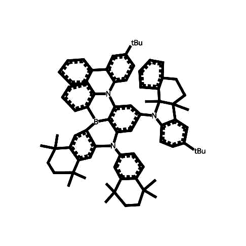 CC(C)(C)c1ccc(N2c3ccccc3B3c4cc5c(cc4N(c4ccc6c(c4)C(C)(C)CCC6(C)C)c4cc(N6c7ccc(C(C)(C)C)cc7C7(C)CCc8ccccc8C67C)cc2c43)C(C)(C)CCC5(C)C)c(-c2ccccc2)c1